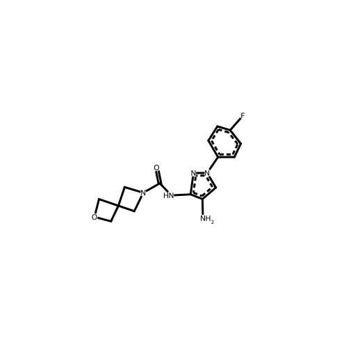 Nc1cn(-c2ccc(F)cc2)nc1NC(=O)N1CC2(COC2)C1